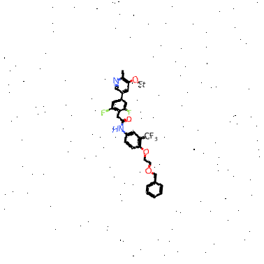 CCOc1cc(-c2cc(F)c(CC(=O)Nc3ccc(OCCOCc4ccccc4)c(C(F)(F)F)c3)c(F)c2)cnc1C